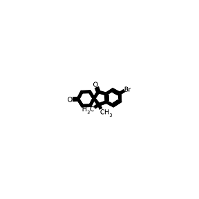 CC1(C)c2ccc(Br)cc2C(=O)C12CCC(=O)CC2